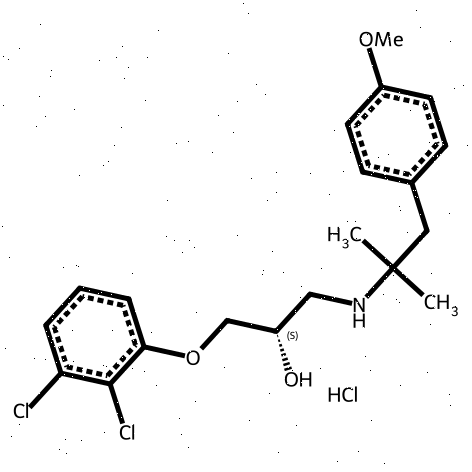 COc1ccc(CC(C)(C)NC[C@H](O)COc2cccc(Cl)c2Cl)cc1.Cl